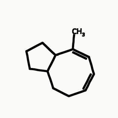 C/C1=C/C=C\CCC2CCC[C]12